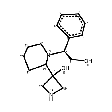 OC[C@H](c1ccccc1)N1CCCCC1C1(O)CNC1